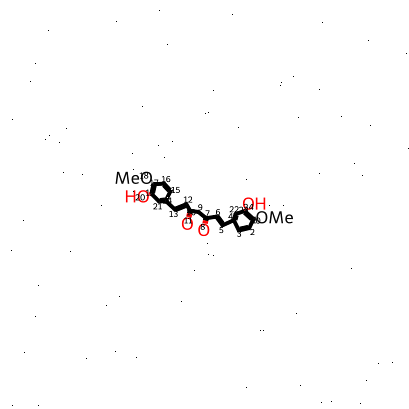 COc1ccc(C=CC(=O)CC(=O)C=Cc2ccc(OC)c(O)c2)cc1O